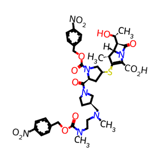 C[C@@H](O)[C@H]1C(=O)N2C(C(=O)O)=C(S[C@H]3C[C@@H](C(=O)N4CC[C@H](CN(C)CCN(C)C(=O)OCc5ccc([N+](=O)[O-])cc5)C4)N(C(=O)OCc4ccc([N+](=O)[O-])cc4)C3)[C@H](C)[C@H]12